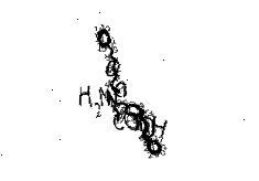 NN(C(=O)CCOCCCc1ccccc1)C(CCC(=O)O)Cc1ccc(OCc2ccccc2)cc1